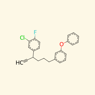 C#CC(CCCc1cccc(Oc2ccccc2)c1)c1ccc(F)c(Cl)c1